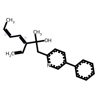 C=C/C(=C\C=C/C)C(C)(O)Cc1ccc(-c2ccccc2)cn1